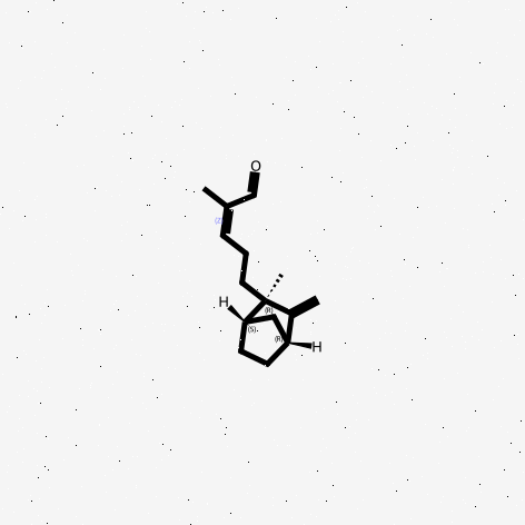 C=C1[C@@H]2CC[C@@H](C2)[C@@]1(C)CC/C=C(/C)C=O